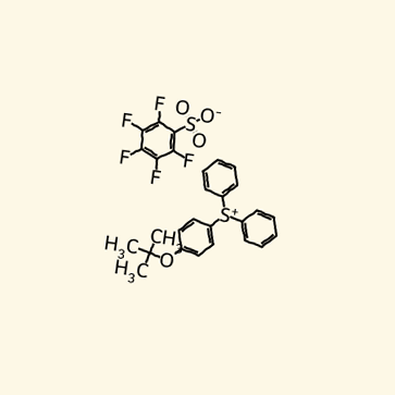 CC(C)(C)Oc1ccc([S+](c2ccccc2)c2ccccc2)cc1.O=S(=O)([O-])c1c(F)c(F)c(F)c(F)c1F